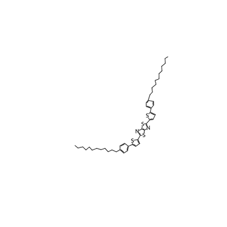 CCCCCCCCCCCCc1ccc(-c2ccc(-c3nc4sc(-c5ccc(-c6ccc(CCCCCCCCCCCC)cc6)s5)nc4s3)s2)cc1